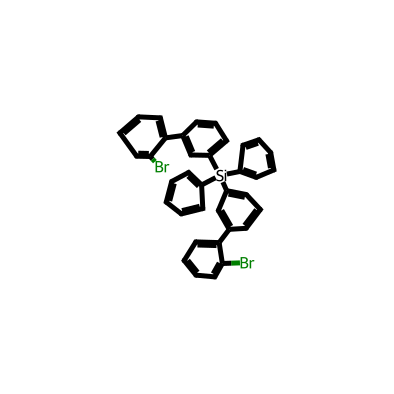 Brc1ccccc1-c1cccc([Si](c2ccccc2)(c2ccccc2)c2cccc(-c3ccccc3Br)c2)c1